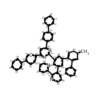 CC1C=C(c2ccccc2)C(c2cc(-c3nc(-c4ccc(-c5ccccc5)cc4)cc(-c4ccc(-c5ccccc5)cc4)n3)cc(-c3cccnc3-c3ccccn3)c2)=CC1